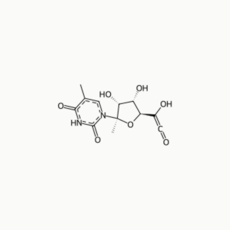 Cc1cn([C@]2(C)O[C@H](C(O)=C=O)[C@@H](O)[C@H]2O)c(=O)[nH]c1=O